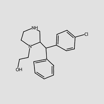 OCCN1CCNCC1C(c1ccccc1)c1ccc(Cl)cc1